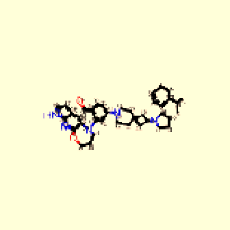 CC(C)c1ccccc1[C@@H]1CCCN1C1CC2(CCN(c3ccc(C=O)c(N4CCCOc5nc6[nH]ccc6cc54)c3)CC2)C1